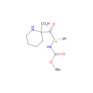 CC(C)[C@H](NC(=O)OC(C)(C)C)C(=O)C1(C(=O)O)CCCCN1